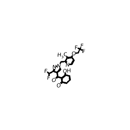 Cc1c(OCC(F)(F)F)ccnc1Cn1cc(C(=O)C2=C(O)CCCC2=O)c(C(F)F)n1